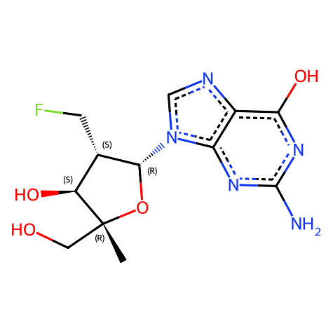 C[C@]1(CO)O[C@@H](n2cnc3c(O)nc(N)nc32)[C@@H](CF)[C@@H]1O